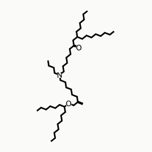 C=C(CCCCCCN(CCCC)CCCCCCC(=O)CC(CCCCCC)CCCCCCCC)COC(CCCCCC)CCCCCCCC